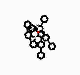 c1ccc(-c2ccc(-c3nc(-c4ccccc4)nc(-n4c5ccccc5c5ccc6c7ccccc7n(-c7c(-c8ccccc8)cccc7-c7ccc(-c8ccccc8)cc7)c6c54)n3)cc2)cc1